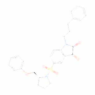 O=C1C(=O)N(CCCc2ccccc2)c2ccc(S(=O)(=O)N3CCC[C@H]3COc3ccccc3)cc21